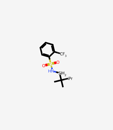 CC(C)C(C)(C)[SiH2]NS(=O)(=O)c1ccccc1C(F)(F)F